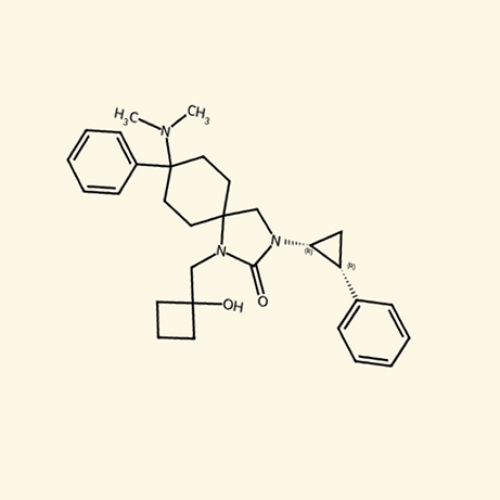 CN(C)C1(c2ccccc2)CCC2(CC1)CN([C@@H]1C[C@@H]1c1ccccc1)C(=O)N2CC1(O)CCC1